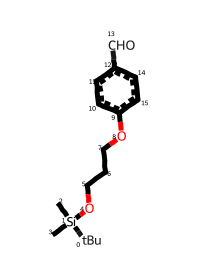 CC(C)(C)[Si](C)(C)OCCCOc1ccc(C=O)cc1